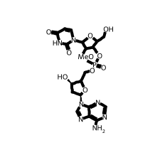 COC1C(OP(C)(=O)OCC2O[C@@H](n3cnc4c(N)ncnc43)C[C@H]2O)C(CO)OC1n1ccc(=O)[nH]c1=O